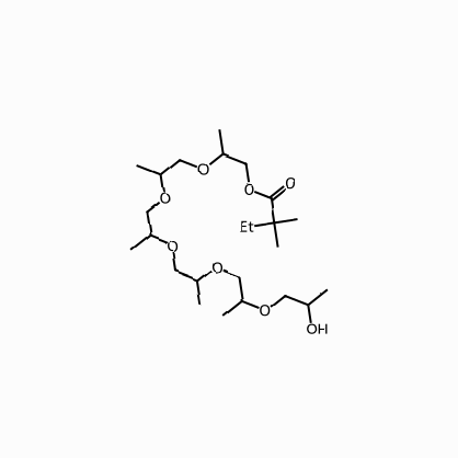 CCC(C)(C)C(=O)OCC(C)OCC(C)OCC(C)OCC(C)OCC(C)OCC(C)O